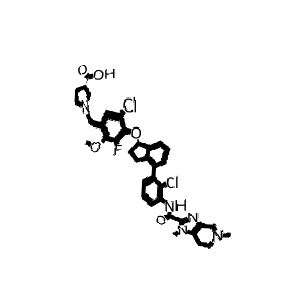 COc1c(CN2CC[C@H](C(=O)O)C2)cc(Cl)c(O[C@H]2CCc3c(-c4cccc(NC(=O)c5nc6c(n5C)CCN(C)C6)c4Cl)cccc32)c1F